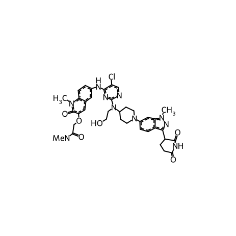 CNC(=O)COc1cc2cc(Nc3nc(N(CCO)C4CCN(c5ccc6c(C7CCC(=O)NC7=O)nn(C)c6c5)CC4)ncc3Cl)ccc2n(C)c1=O